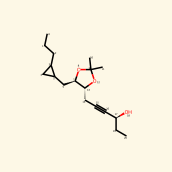 CCCC1CC1C[C@H]1OC(C)(C)O[C@@H]1CC#C[C@@H](O)CC